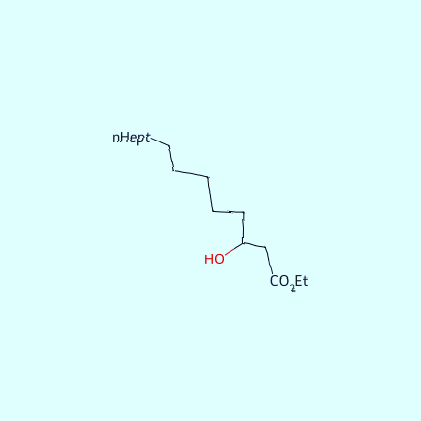 CCCCCCCCCCCCC(O)CC(=O)OCC